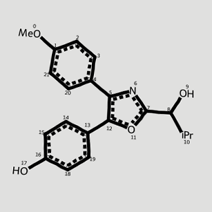 COc1ccc(-c2nc(C(O)C(C)C)oc2-c2ccc(O)cc2)cc1